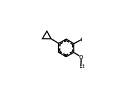 CCOc1ccc(C2CC2)cc1I